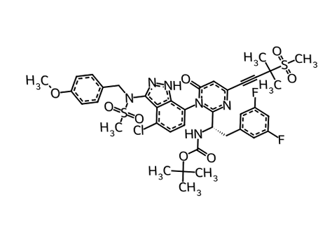 COc1ccc(CN(c2n[nH]c3c(-n4c([C@H](Cc5cc(F)cc(F)c5)NC(=O)OC(C)(C)C)nc(C#CC(C)(C)S(C)(=O)=O)cc4=O)ccc(Cl)c23)S(C)(=O)=O)cc1